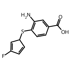 Nc1cc(C(=O)O)ccc1SC1C=CC(F)=C1